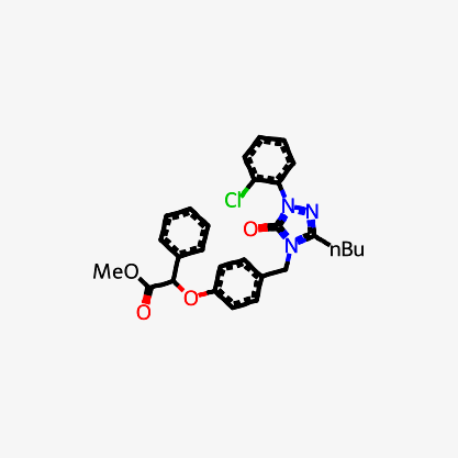 CCCCc1nn(-c2ccccc2Cl)c(=O)n1Cc1ccc(OC(C(=O)OC)c2ccccc2)cc1